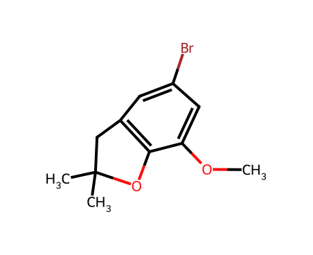 COc1cc(Br)cc2c1OC(C)(C)C2